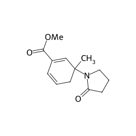 COC(=O)C1=CC(C)(N2CCCC2=O)CC=C1